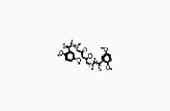 COc1ccc(OC)c(C(=S)N(C)N(C)CC(=O)CC(=O)CN(C)N(C)C(=S)c2cc(OC)ccc2OC)c1